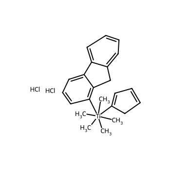 Cl.Cl.[CH3][Ti]([CH3])([CH3])([CH3])([CH3])([C]1=CC=CC1)[c]1cccc2c1Cc1ccccc1-2